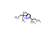 CCC(C)c1ccc(C(C)(C)CC)[nH]1